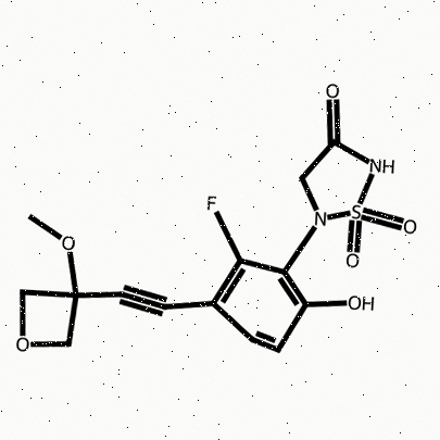 COC1(C#Cc2ccc(O)c(N3CC(=O)NS3(=O)=O)c2F)COC1